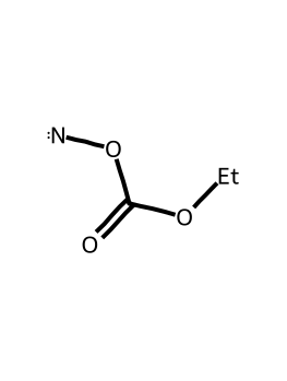 CCOC(=O)O[N]